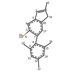 CC1=Cc2cc(Br)c(-c3c(C)cc(C)cc3C)cc2C1